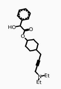 CCN(CC)CC#CCC1CCC(OC(=O)C(O)c2ccccc2)CC1